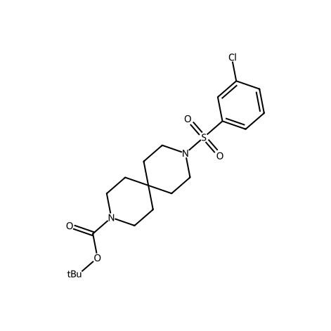 CC(C)(C)OC(=O)N1CCC2(CC1)CCN(S(=O)(=O)c1cccc(Cl)c1)CC2